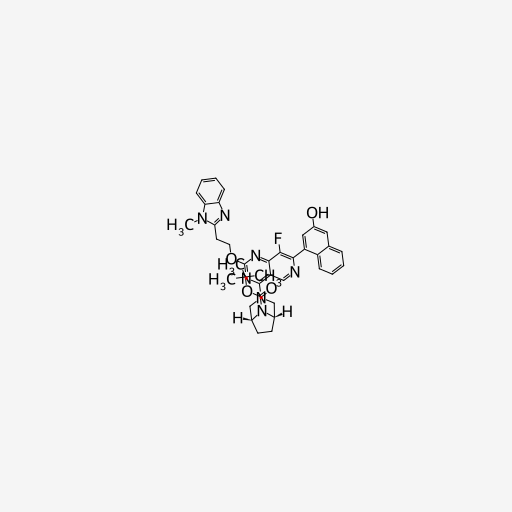 Cn1c(CCOc2nc(N3C[C@H]4CC[C@@H](C3)N4C(=O)OC(C)(C)C)c3cnc(-c4cc(O)cc5ccccc45)c(F)c3n2)nc2ccccc21